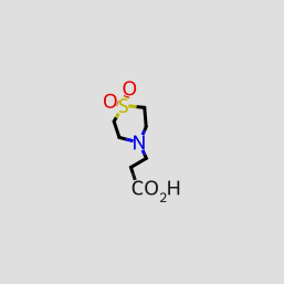 O=C(O)CCN1CCS(=O)(=O)CC1